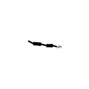 [CH2]C#CC#CCC[CH2]